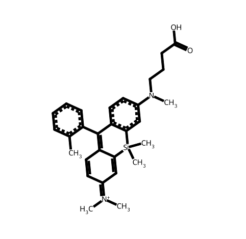 Cc1ccccc1C1=C2C=CC(=[N+](C)C)C=C2[Si](C)(C)c2cc(N(C)CCCC(=O)O)ccc21